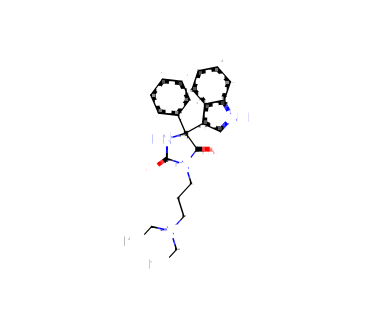 CCN(CC)CCCN1C(=O)NC(c2ccccc2)(c2c[nH]c3ccccc23)C1=O